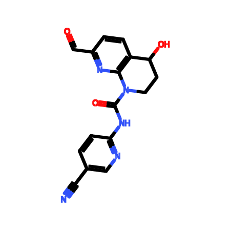 N#Cc1ccc(NC(=O)N2CCC(O)c3ccc(C=O)nc32)nc1